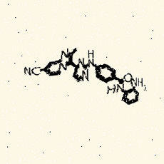 Cc1nc2cc(C#N)ccn2c1-c1ccnc(Nc2ccc(C(=O)Nc3ccccc3N)cc2)n1